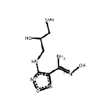 CSCC(O)CNc1nonc1/C(N)=N/O